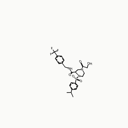 CC(C)c1ccc(S(=O)(=O)N2CCN(C(=O)CO)CC2C(=O)NCc2ccc(C(F)(F)F)cc2)cc1